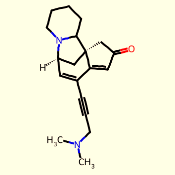 CN(C)CC#CC1=C[C@@H]2C[C@@]3(CC(=O)C=C13)C1CCCCN12